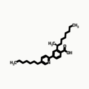 CCCCCCCc1ccc(-c2ccc(C(=O)O)c([C@@H](C)CCCCCCC)c2)nc1